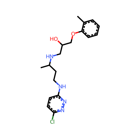 Cc1ccccc1OCC(O)CNC(C)CCNc1ccc(Cl)nn1